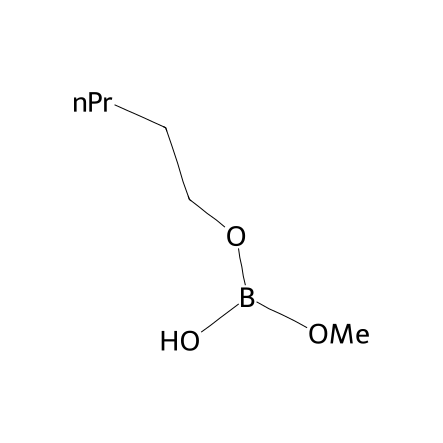 CCCCCOB(O)OC